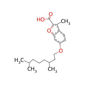 Cc1c(C(=O)O)oc2cc(OCCC(C)CCCC(C)C)ccc12